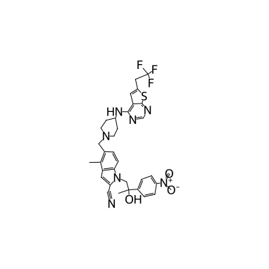 Cc1c(CN2CCC(Nc3ncnc4sc(CC(F)(F)F)cc34)CC2)ccc2c1cc(C#N)n2CC(C)(O)c1ccc([N+](=O)[O-])cc1